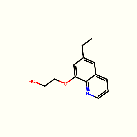 CCc1cc(OCCO)c2ncccc2c1